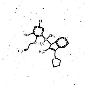 C=CCOc1c(C(C)(C)C)cc(Cl)cc1[Si](C)(C)C1C(C)=C(N2CCCC2)c2ccccc21